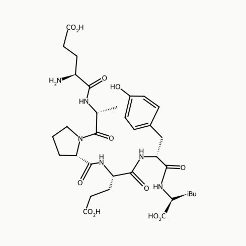 CC[C@H](C)[C@H](NC(=O)[C@@H](Cc1ccc(O)cc1)NC(=O)[C@H](CCC(=O)O)NC(=O)[C@@H]1CCCN1C(=O)[C@@H](C)NC(=O)[C@@H](N)CCC(=O)O)C(=O)O